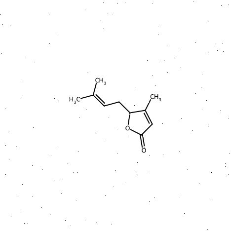 CC(C)=CCC1OC(=O)C=C1C